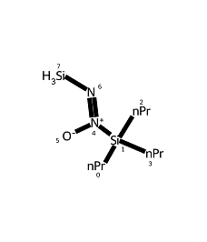 CCC[Si](CCC)(CCC)[N+]([O-])=N[SiH3]